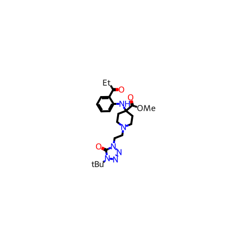 CCC(=O)c1ccccc1NC1(C(=O)OC)CCN(CCn2nnn(C(C)(C)C)c2=O)CC1